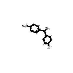 CC[C](c1ccc(CC)cc1)c1ccc(OC)cc1